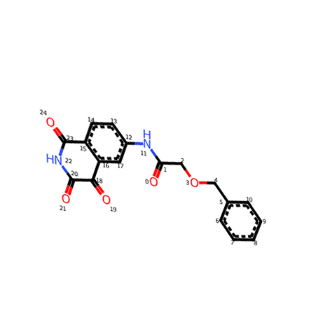 O=C(COCc1ccccc1)Nc1ccc2c(c1)C(=O)C(=O)NC2=O